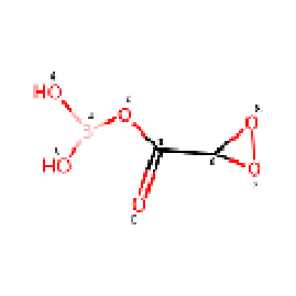 O=C(OB(O)O)C1OO1